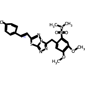 COc1cc(Cc2nnc3sc(/C=C/c4ccc(Cl)cc4)nn23)c(S(=O)(=O)N(C)C)cc1OC